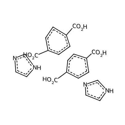 O=C(O)c1ccc(C(=O)O)cc1.O=C(O)c1ccc(C(=O)O)cc1.c1c[nH]cn1.c1c[nH]cn1